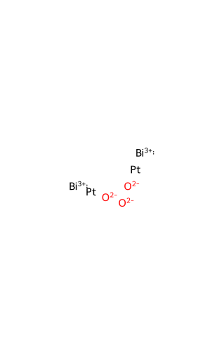 [Bi+3].[Bi+3].[O-2].[O-2].[O-2].[Pt].[Pt]